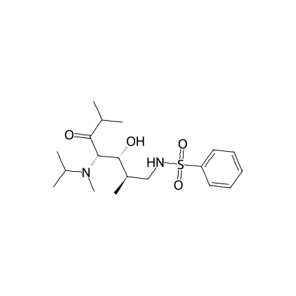 CC(C)C(=O)[C@H]([C@H](O)[C@H](C)CNS(=O)(=O)c1ccccc1)N(C)C(C)C